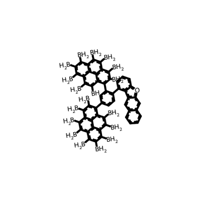 Bc1c(B)c2c(B)c(B)c3c(B)c(B)c(-c4ccc(-c5cccc6oc7cc8ccccc8cc7c56)c(-c5c(B)c(B)c6c(B)c(B)c7c(B)c(B)c(B)c8c(B)c(B)c5c6c78)c4)c4c(B)c(B)c(c1B)c2c34